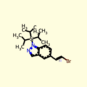 CC(C)[Si](C(C)C)(C(C)C)n1ncc2cc(/C=C/Br)ccc21